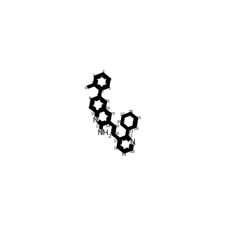 Cc1ccccc1-c1ccc2nc(N)c(C=Cc3cccnc3C3C=CCCC3)cc2c1